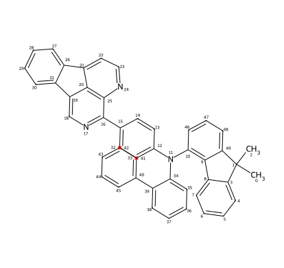 CC1(C)c2ccccc2-c2c(N(c3ccc(-c4ncc5c6c(ccnc46)-c4ccccc4-5)cc3)c3ccccc3-c3ccccc3)cccc21